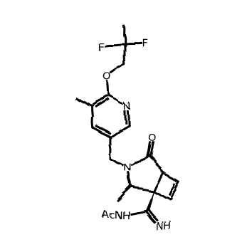 CC(=O)NC(=N)[C@]12C=CC1C(=O)N(Cc1cnc(OCC(C)(F)F)c(C)c1)C2C